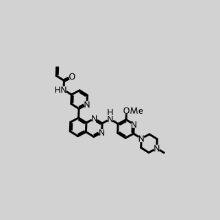 C=CC(=O)Nc1ccnc(-c2cccc3cnc(Nc4ccc(N5CCN(C)CC5)nc4OC)nc23)c1